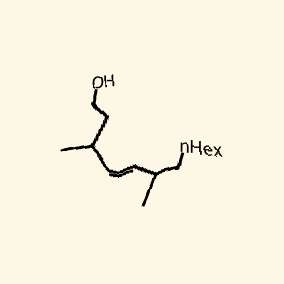 CCCCCCCC(C)C=CC(C)CCO